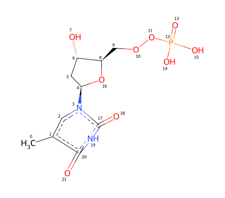 Cc1cn([C@H]2C[C@H](O)[C@@H](COOP(=O)(O)O)O2)c(=O)[nH]c1=O